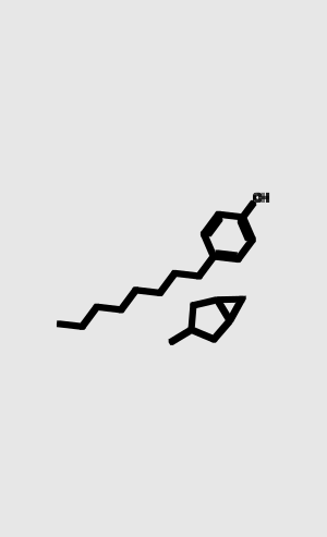 CC1CC2CC2C1.CCCCCCCCc1ccc(O)cc1